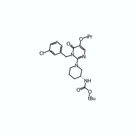 CC(C)Oc1cnc(N2CCC[C@@H](NC(=O)OC(C)(C)C)C2)n(Cc2c[c]cc(Cl)c2)c1=O